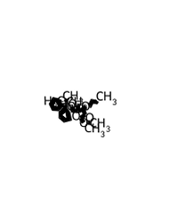 CCCCOC1C2OC(C)(C)OC2OC1(CO)CO[Si](c1ccccc1)(c1ccccc1)C(C)(C)C